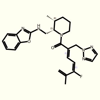 C=C(C)/C(F)=C\C=C(/Cn1nccn1)C(=O)N1CCC[C@@H](C)[C@H]1CNc1nc2ccccc2o1